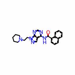 O=C(Nc1ncnc2c1cnn2CCN1CCCCC1)c1cccc2ccccc12